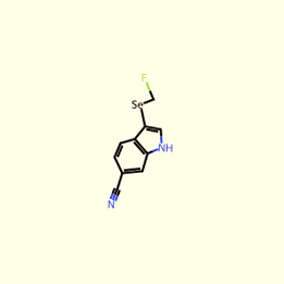 N#Cc1ccc2c([Se]CF)c[nH]c2c1